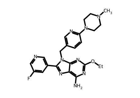 CCOc1nc(N)c2nc(-c3cncc(F)c3)n(Cc3ccc(N4CCN(C)CC4)nc3)c2n1